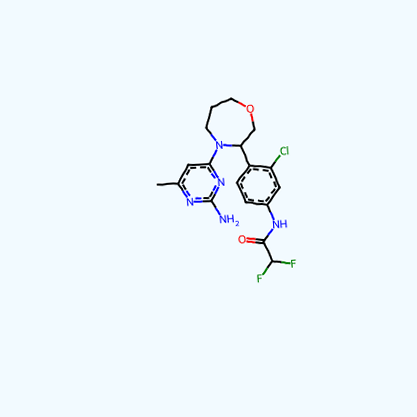 Cc1cc(N2CCCOCC2c2ccc(NC(=O)C(F)F)cc2Cl)nc(N)n1